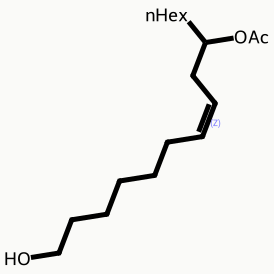 CCCCCCC(C/C=C\CCCCCCO)OC(C)=O